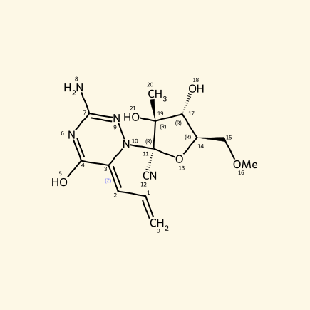 C=C/C=C1/C(O)=NC(N)=NN1[C@]1(C#N)O[C@H](COC)[C@@H](O)[C@@]1(C)O